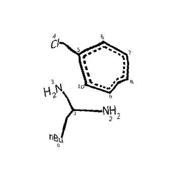 CCCCC(N)N.Clc1ccccc1